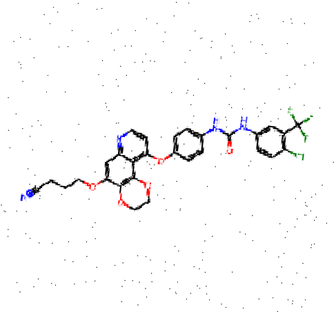 N#CCCCOc1cc2nccc(Oc3ccc(NC(=O)Nc4ccc(Cl)c(C(F)(F)F)c4)cc3)c2c2c1OCCO2